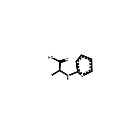 CC(Nc1ccccn1)C(=O)O